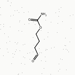 NC(=O)OCCCC=O